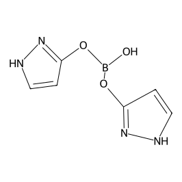 OB(Oc1cc[nH]n1)Oc1cc[nH]n1